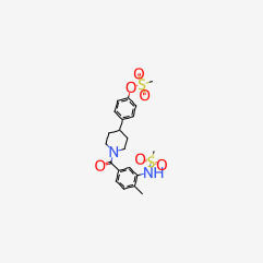 Cc1ccc(C(=O)N2CCC(c3ccc(OS(C)(=O)=O)cc3)CC2)cc1NS(C)(=O)=O